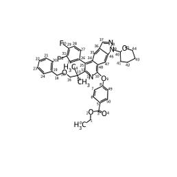 CCOC(=O)c1ccc(Oc2nc(C(C)(C)COCc3ccccc3)c(-c3ccc(F)c(F)c3)c3cc4cnn(C5CCCCO5)c4cc23)cc1